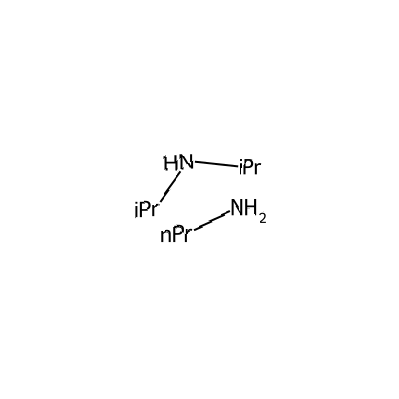 CC(C)NC(C)C.CCCN